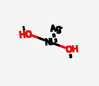 [Ag].[OH][Ni][OH]